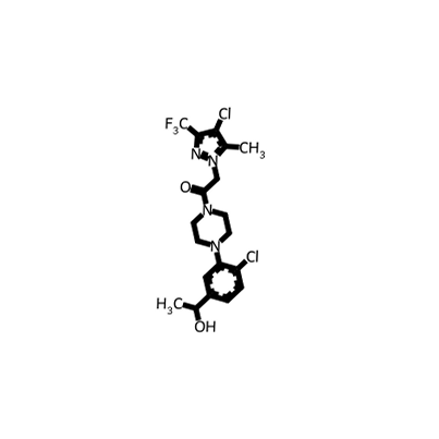 Cc1c(Cl)c(C(F)(F)F)nn1CC(=O)N1CCN(c2cc(C(C)O)ccc2Cl)CC1